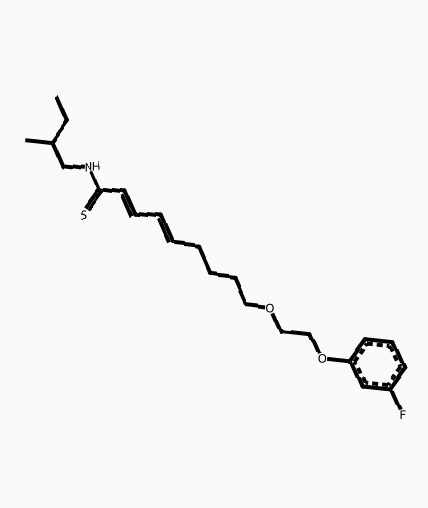 CCC(C)CNC(=S)/C=C/C=C/CCCCOCCOc1cccc(F)c1